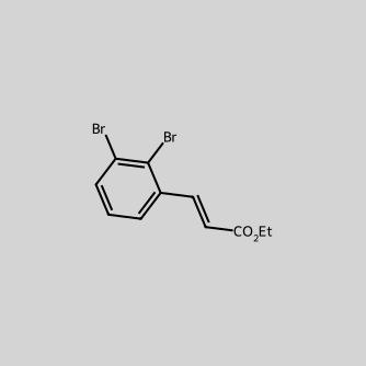 CCOC(=O)/C=C/c1cccc(Br)c1Br